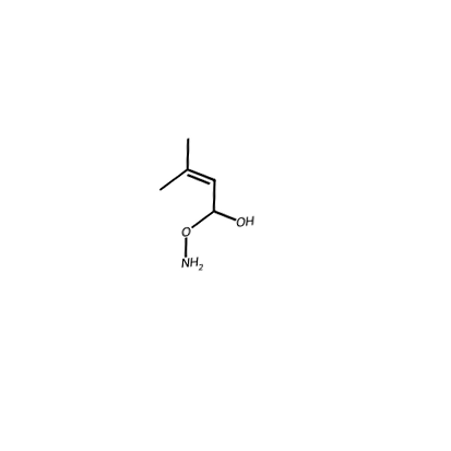 CC(C)=CC(O)ON